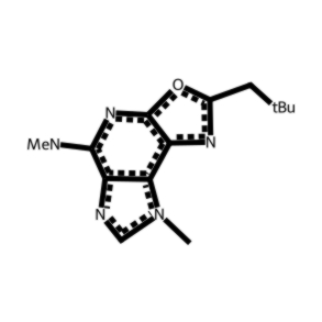 CNc1nc2oc(CC(C)(C)C)nc2c2c1ncn2C